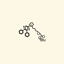 CC(C)(C)OC(=O)COCCCCC1CCCN1c1cnc(-c2ccccc2)c(-c2ccccc2)n1